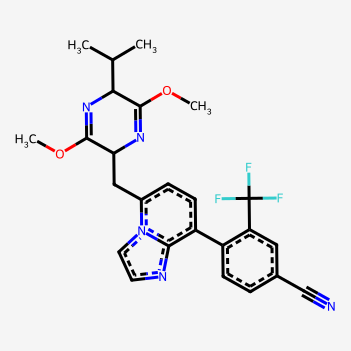 COC1=NC(C(C)C)C(OC)=NC1Cc1ccc(-c2ccc(C#N)cc2C(F)(F)F)c2nccn12